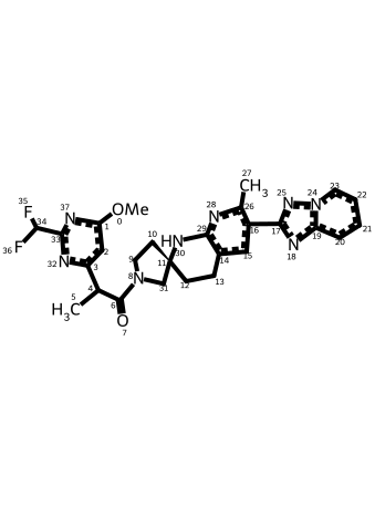 COc1cc(C(C)C(=O)N2CC[C@@]3(CCc4cc(-c5nc6ccccn6n5)c(C)nc4N3)C2)nc(C(F)F)n1